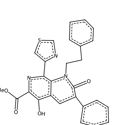 COC(=O)c1nc(-c2cscn2)c2c(cc(-c3ccccc3)c(=O)n2CCc2ccccc2)c1O